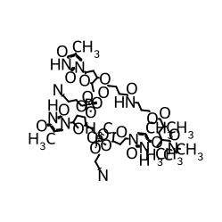 CCC(CC(C)C(=O)OCCCNC(=O)CCC(=O)OC1CC(n2cc(C)c(=O)[nH]c2=O)OC1COP(=O)(OCCC#N)OC1CC(n2cc(C)c(=O)[nH]c2=O)OC1COP(=O)(OCCC#N)OC1CC(n2cc(C)c(=O)[nH]c2=O)OC1C)C(=O)N(C)C